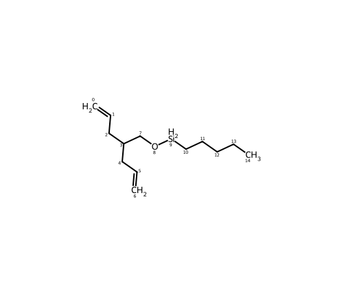 C=CCC(CC=C)CO[SiH2]CCCCC